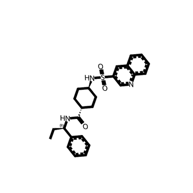 CC[C@@H](NC(=O)[C@H]1CC[C@H](NS(=O)(=O)c2cnc3ccccc3c2)CC1)c1ccccc1